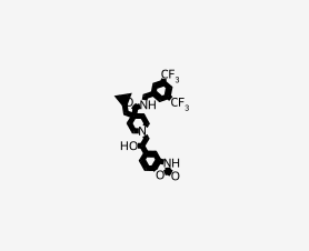 O=C(NCc1cc(C(F)(F)F)cc(C(F)(F)F)c1)C1(CC2CC2)CCN(CC(O)c2ccc3oc(=O)[nH]c3c2)CC1